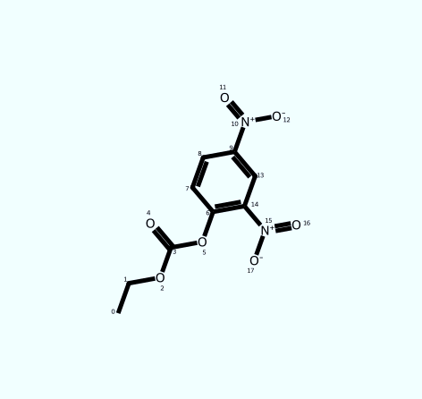 CCOC(=O)Oc1ccc([N+](=O)[O-])cc1[N+](=O)[O-]